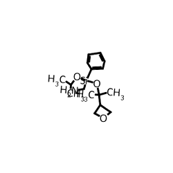 CC(C)O[Si](CN)(OC(C)(C)C1COC1)c1ccccc1